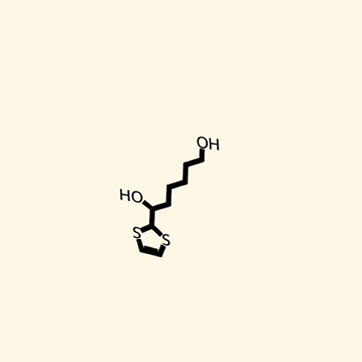 OCCCCCC(O)C1SC=CS1